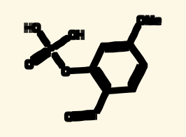 COc1ccc(I=O)c(OP(=O)(O)O)c1